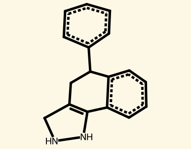 c1ccc(C2CC3=C(NNC3)c3ccccc32)cc1